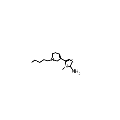 CCCCCN1CCC=C(C2=CSC(N)N2C)C1